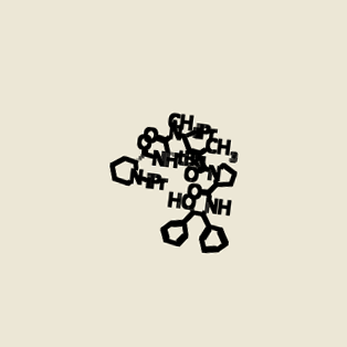 C/C(=C\[C@H](C(C)C)N(C)C(=O)[C@@H](NC(=O)[C@H]1CCCCN1C(C)C)C(C)(C)C)C(=O)N1CCCC1C(=O)N[C@@H](c1ccccc1)[C@@H](O)c1ccccc1